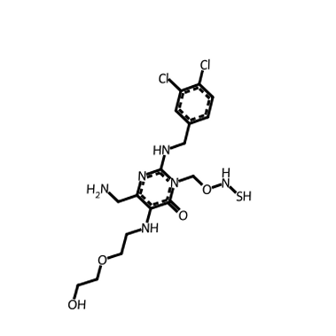 NCc1nc(NCc2ccc(Cl)c(Cl)c2)n(CONS)c(=O)c1NCCOCCO